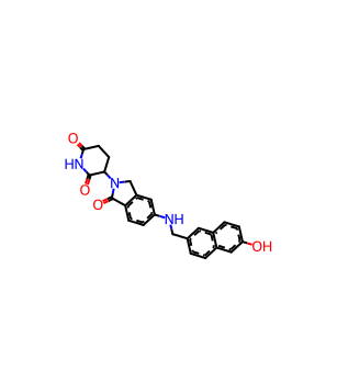 O=C1CCC(N2Cc3cc(NCc4ccc5cc(O)ccc5c4)ccc3C2=O)C(=O)N1